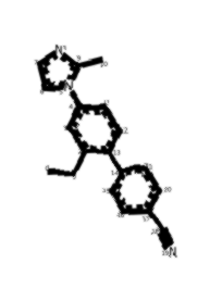 CCc1cc(-n2ccnc2C)ccc1-c1ccc(C#N)cc1